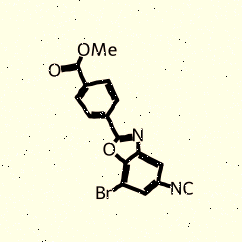 [C-]#[N+]c1cc(Br)c2oc(-c3ccc(C(=O)OC)cc3)nc2c1